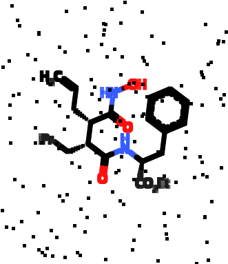 C=CC[C@H](C(=O)NO)[C@@H](CC(C)C)C(=O)N[C@@H](Cc1ccccc1)C(=O)OCC